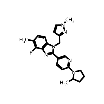 Cc1ccc2c(nc(-c3ccc(N4CCCC4C)nc3)n2Cc2ccn(C)n2)c1F